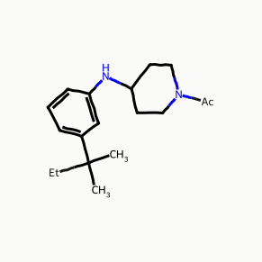 CCC(C)(C)c1cccc(NC2CCN(C(C)=O)CC2)c1